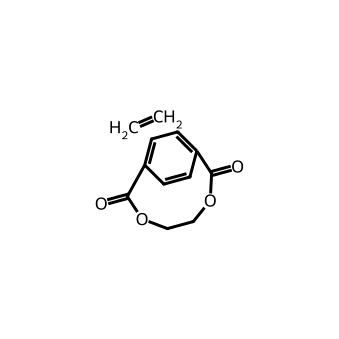 C=C.O=C1OCCOC(=O)c2ccc1cc2